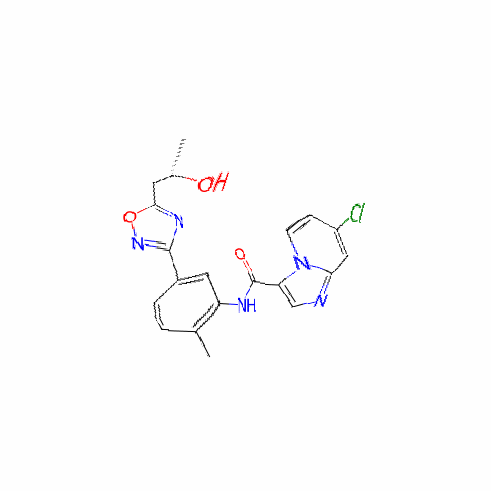 Cc1ccc(-c2noc(C[C@H](C)O)n2)cc1NC(=O)c1cnc2cc(Cl)ccn12